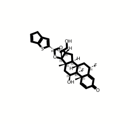 C[C@]12C=CC(=O)C=C1[C@@H](F)C[C@H]1[C@@H]3C[C@H]4O[C@@H](c5cc6c(s5)C=CC6)O[C@@]4(C(=O)CO)[C@@]3(C)C[C@H](O)[C@@]12F